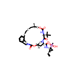 C=C[C@@H]1C[C@]1(NC(=O)[C@@H]1C[C@@H]2CN1C(=O)[C@H](C(C)(C)C)NC(=O)OC[C@H](C)CCCCc1cccc3c1CN(C3)C(=O)O2)P(C)(=O)O